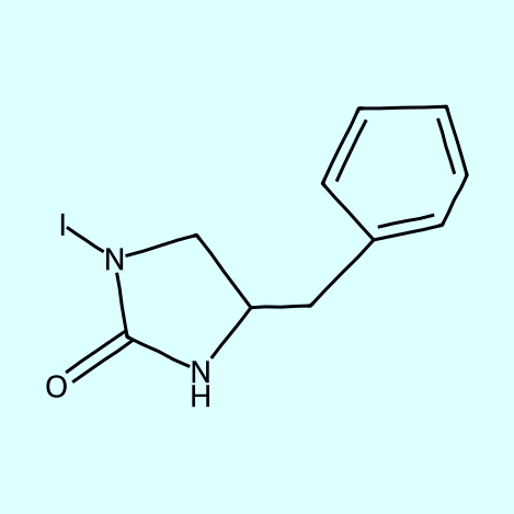 O=C1NC(Cc2ccccc2)CN1I